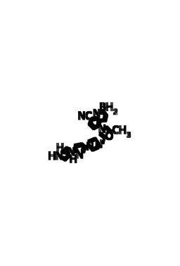 Bc1ccc2c(N3C[C@H](CN4CCN(c5ccc(N6C[C@@H]7C[C@H]6CN7)nc5)CC4)O[C@H](C)C3)ccc(C#N)c2n1